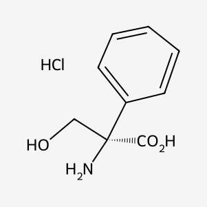 Cl.N[C@](CO)(C(=O)O)c1ccccc1